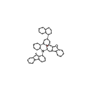 c1cc(-c2ccccc2N(c2ccc3oc4ccccc4c3c2)c2cccc3c2sc2ccccc23)cc(-c2cccc3ccccc23)c1